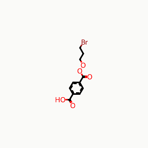 O=C(O)c1ccc(C(=O)OOCCCBr)cc1